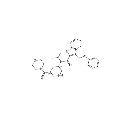 CC(C)N(C(=O)c1nc2ccccn2c1COc1ccccc1)[C@@H]1CNC[C@H](C(=O)N2CCOCC2)C1